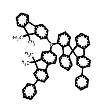 CC1(C)c2ccccc2-c2ccc(N(c3ccc4c(c3)C(C)(C)c3cc(-c5ccccc5)ccc3-4)c3cccc4c3-c3ccccc3C43c4ccccc4-c4ccc(-c5ccccc5)cc43)cc21